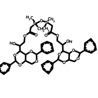 C[Si](C)(CC(=O)OCC(O)C1OC(c2ccccc2)OC2COC(c3ccccc3)OC21)O[Si](C)(C)CC(=O)OCC(O)C1OC(c2ccccc2)OC2COC(c3ccccc3)OC21